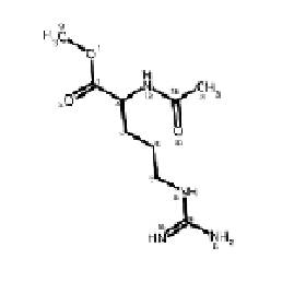 COC(=O)C(CCCNC(=N)N)NC(C)=O